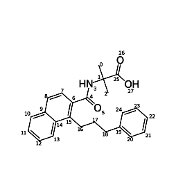 CC(C)(NC(=O)c1ccc2ccccc2c1CCCc1ccccc1)C(=O)O